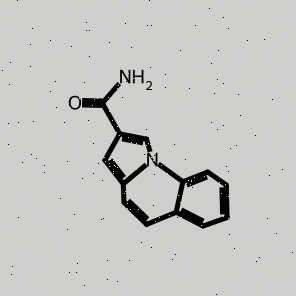 NC(=O)c1cc2ccc3ccccc3n2c1